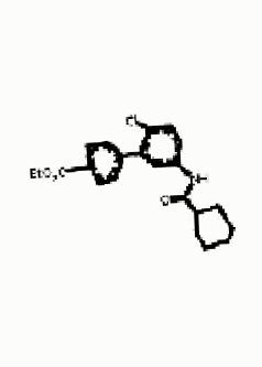 CCOC(=O)c1ccc(-c2cc(NC(=O)C3CCCCC3)ccc2Cl)cc1